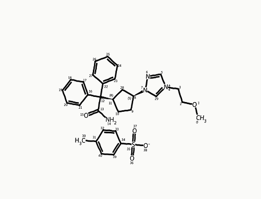 COCC[n+]1cnn([C@H]2CC[C@@H](C(C(N)=O)(c3ccccc3)c3ccccc3)C2)c1.Cc1ccc(S(=O)(=O)[O-])cc1